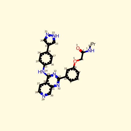 CC(C)NC(=O)COc1cccc(-c2nc(Nc3ccc(-c4cn[nH]c4)cc3)c3ccncc3n2)c1